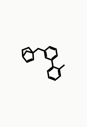 Cc1ccccc1-c1cccc(CC23C=CC(CC2)C3)c1